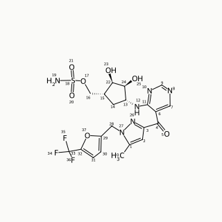 Cc1cc(C(=O)c2cncnc2N[C@@H]2C[C@H](COS(N)(=O)=O)[C@@H](O)[C@H]2O)nn1Cc1ccc(C(F)(F)F)o1